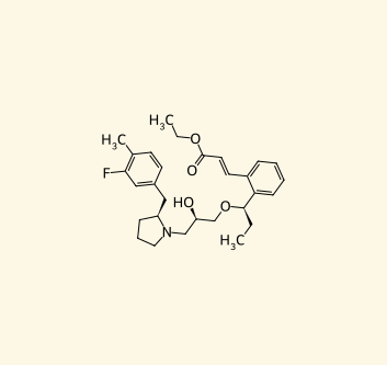 CCOC(=O)/C=C/c1ccccc1[C@@H](CC)OC[C@H](O)CN1CCC[C@H]1Cc1ccc(C)c(F)c1